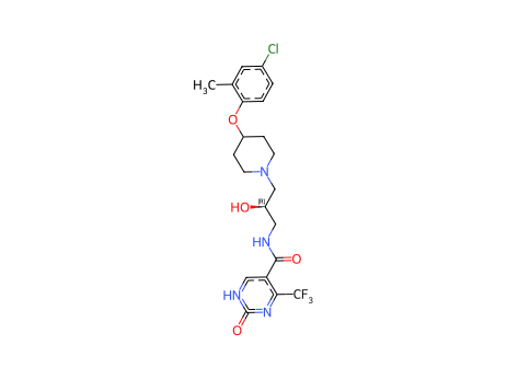 Cc1cc(Cl)ccc1OC1CCN(C[C@H](O)CNC(=O)c2c[nH]c(=O)nc2C(F)(F)F)CC1